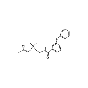 C/C(Cl)=C/C1C(CNC(=O)c2cccc(Oc3ccccc3)c2)C1(C)C